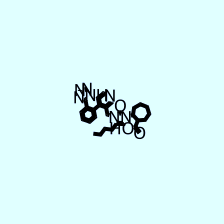 CCCCc1cn(C2CCCCCC2C(=O)O)c(=O)n1Cc1cnccc1-c1ccccc1-c1nnn[nH]1